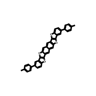 Cc1ccc(-c2ccc3sc4c5cc6cc7sc8c9cc(-c%10ccc(C)cc%10)ccc9sc8c7cc6cc5sc4c3c2)cc1